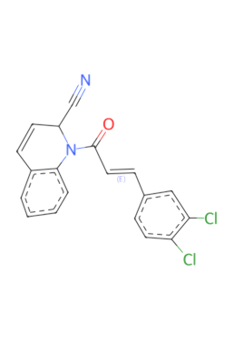 N#CC1C=Cc2ccccc2N1C(=O)/C=C/c1ccc(Cl)c(Cl)c1